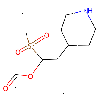 CS(=O)(=O)C(CC1CCNCC1)OC=O